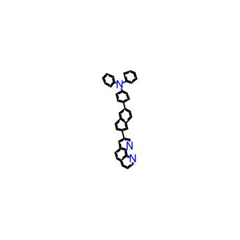 c1ccc(N(c2ccccc2)c2ccc(-c3ccc4cc(-c5cnc6c(ccc7cccnc76)c5)ccc4c3)cc2)cc1